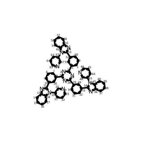 c1cc(-c2nc(-c3cccc(-c4nc5ccccc5n4-c4cccnc4)c3)nc(-c3cccc(-c4nc5ccccc5n4-c4cccnc4)c3)n2)cc(-c2nc3ccccc3n2-c2cccnc2)c1